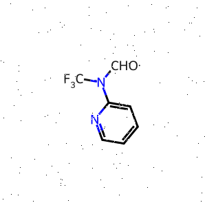 O=[C]N(c1ccccn1)C(F)(F)F